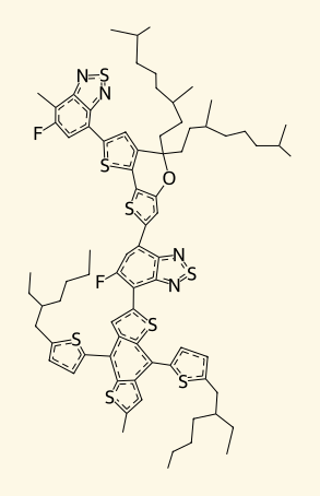 CCCCC(CC)Cc1ccc(-c2c3cc(-c4c(F)cc(-c5cc6c(s5)-c5sc(-c7cc(F)c(C)c8nsnc78)cc5C(CCC(C)CCCC(C)C)(CCC(C)CCCC(C)C)O6)c5nsnc45)sc3c(-c3ccc(CC(CC)CCCC)s3)c3cc(C)sc23)s1